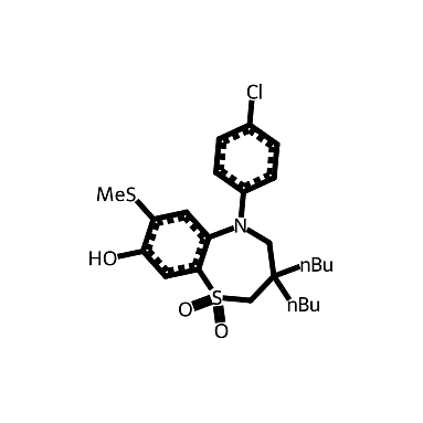 CCCCC1(CCCC)CN(c2ccc(Cl)cc2)c2cc(SC)c(O)cc2S(=O)(=O)C1